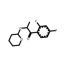 CC(OC1CCCCO1)C(=O)c1ccc(F)cc1F